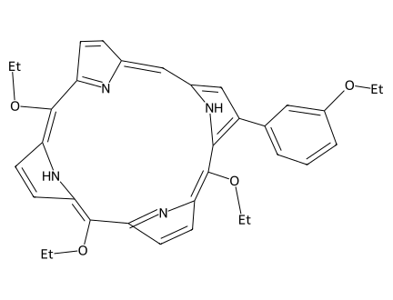 CCOc1cccc(-c2cc3cc4nc(c(OCC)c5ccc([nH]5)c(OCC)c5nc(c(OCC)c2[nH]3)C=C5)C=C4)c1